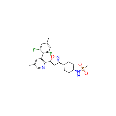 Cc1cc(F)c(-c2cc(C)cnc2C2CC([C@H]3CC[C@@H](NS(C)(=O)=O)CC3)=NO2)c(F)c1